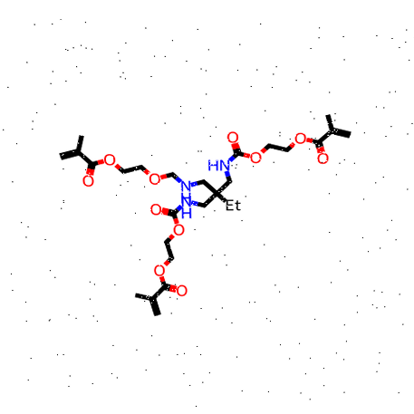 C=C(C)C(=O)OCCOCNCC(CC)(CNC(=O)OCCOC(=O)C(=C)C)CNC(=O)OCCOC(=O)C(=C)C